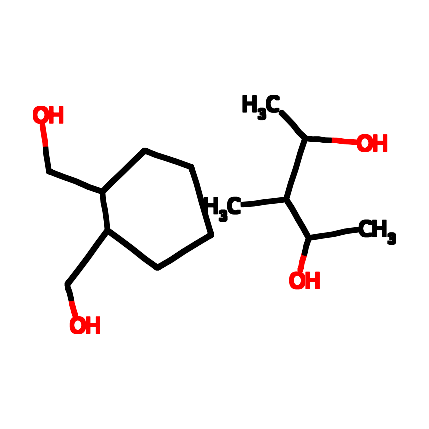 CC(O)C(C)C(C)O.OCC1CCCCC1CO